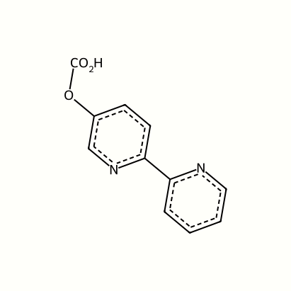 O=C(O)Oc1ccc(-c2ccccn2)nc1